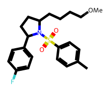 COCCCCC1CCC(c2ccc(F)cc2)N1S(=O)(=O)c1ccc(C)cc1